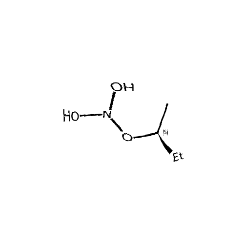 CC[C@H](C)ON(O)O